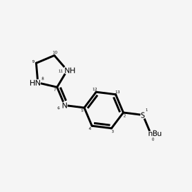 CCCCSc1ccc(N=C2NCCN2)cc1